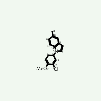 COC1=CCC(n2ccc3cc(C)ccc32)C=C1Cl